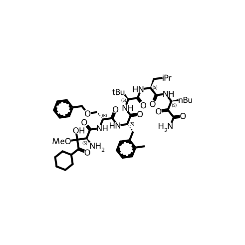 CCCC[C@H](NC(=O)[C@H](CC(C)C)NC(=O)[C@@H](NC(=O)[C@H](Cc1ccccc1C)NC(=O)[C@@H](COCc1ccccc1)NC(=O)[C@@H](N)C(O)(OC)C(=O)C1CCCCC1)C(C)(C)C)C(=O)C(N)=O